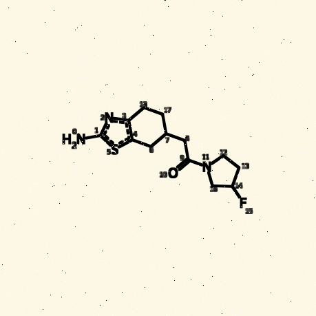 Nc1nc2c(s1)CC(CC(=O)N1CCC(F)C1)CC2